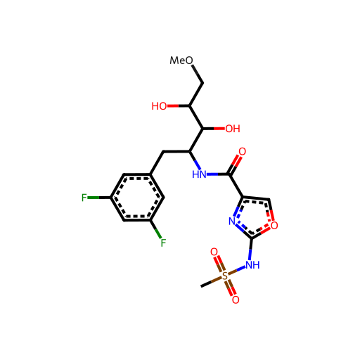 COCC(O)C(O)C(Cc1cc(F)cc(F)c1)NC(=O)c1coc(NS(C)(=O)=O)n1